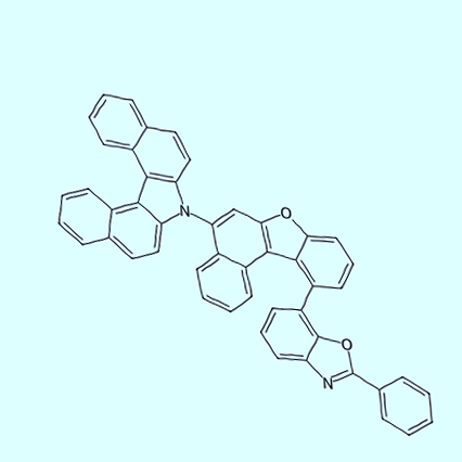 c1ccc(-c2nc3cccc(-c4cccc5oc6cc(-n7c8ccc9ccccc9c8c8c9ccccc9ccc87)c7ccccc7c6c45)c3o2)cc1